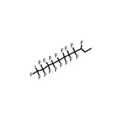 CCC(F)C(F)(F)C(F)(F)C(F)(F)C(F)(F)C(F)(F)C(F)(F)C(F)(F)C(F)(F)I